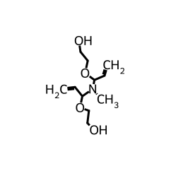 C=CC(OCCO)N(C)C(C=C)OCCO